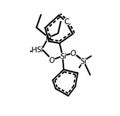 CCN(CC)[SiH](C)O[Si](O[Si](C)(C)C)(c1ccccc1)c1ccccc1